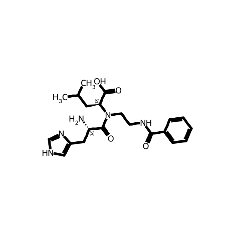 CC(C)C[C@@H](C(=O)O)N(CCNC(=O)c1ccccc1)C(=O)[C@@H](N)Cc1c[nH]cn1